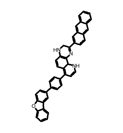 C1=CC(c2ccc(-c3ccc4oc5ccccc5c4c3)cc2)=C2C=CC3=C(N=C(c4ccc5cc6ccccc6cc5c4)CN3)C2N1